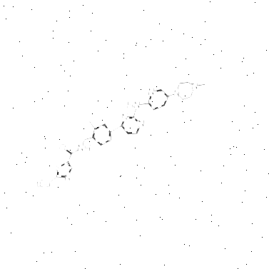 Cc1cc(-c2ccnc(Nc3ccc(N4CCN(C)CC4)cn3)n2)ccc1CNC(=O)c1cnc(C(C)(C)C)s1